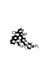 C=CC(=O)N1CCCc2ccc(-c3c(-c4ccc(CN5CCN(C)CC5)nc4)[nH]c4nccc(Cl)c34)cc21